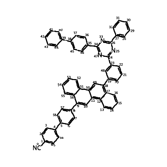 N#Cc1ccc(-c2ccc(-c3cc4c5ccccc5c(-c5cccc(-c6nc(-c7ccccc7)nc(-c7ccc(-c8ccccc8)cc7)n6)c5)cc4c4ccccc34)cc2)cc1